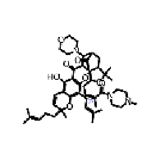 CC(C)=CCCC1(C)C=Cc2c(O)c3c(c(CC=C(C)C)c2O1)OC12C(C3=O)C(N3CCOCC3)C3CC1C(C)(C)OC2(C/C=C(/C)C(=O)N1CCN(C)CC1)C3=O